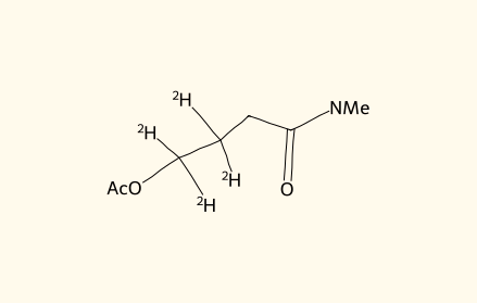 [2H]C([2H])(CC(=O)NC)C([2H])([2H])OC(C)=O